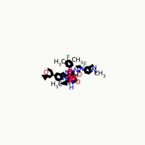 Cc1cc(-n2nc3c(c2-n2ccn(-c4ccc5c(cnn5C)c4F)c2=O)[C@@H]2CC[C@H](C3)N2C(=O)c2cc3cc([C@@H]4CCOC5(CC5)C4)ccc3n2[C@@]2(c3noc(=O)[nH]3)C[C@H]2C)cc(C)c1F